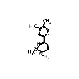 Cc1cnc(C2=N[C@@H](C)[C@@H](C)C=C2)cc1C